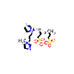 C=CCS(=O)(=O)[O-].C=CCS(=O)(=O)[O-].C[N+]1(CCC[N+]2(C)C=CN=C2)C=CN=C1